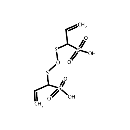 C=CC(SOSC(C=C)S(=O)(=O)O)S(=O)(=O)O